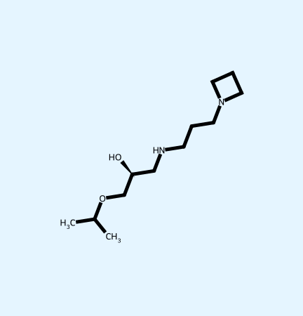 CC(C)OC[C@@H](O)CNCCCN1CCC1